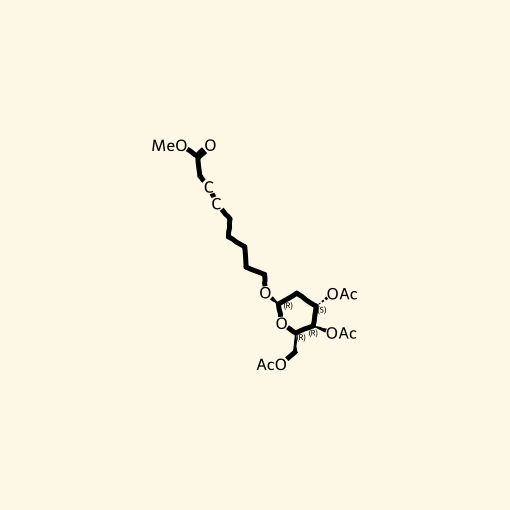 COC(=O)CCCCCCCCO[C@H]1C[C@H](OC(C)=O)[C@@H](OC(C)=O)[C@@H](COC(C)=O)O1